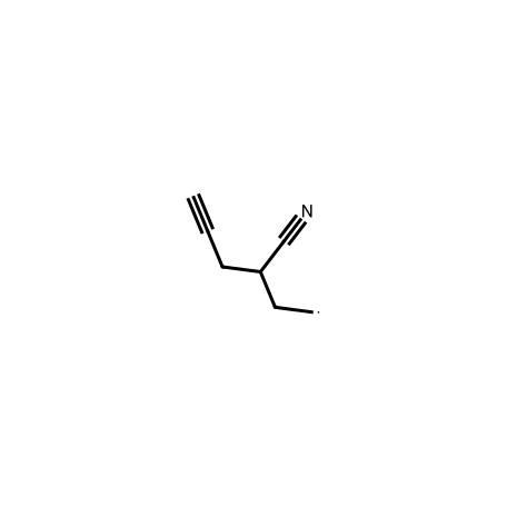 C#CCC(C#N)C[CH2]